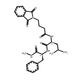 CNC(=O)[C@H](Cc1ccccc1)NC(=O)[C@H](CC(C)C)NC(=O)CCCN1C(=O)c2ccccc2C1=O